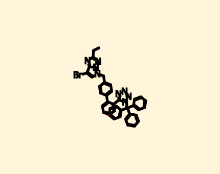 CCc1nc2c(Br)cn(Cc3ccc(-c4ccccc4-c4nnnn4C(c4ccccc4)(c4ccccc4)c4ccccc4)cc3)n2n1